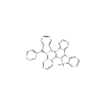 CC1(C)c2ccccc2-c2c1c1c3ccccc3c3c(c4ccccc4n3-c3ccccc3)c1c1ccccc21